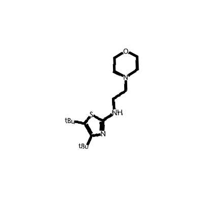 CC(C)(C)c1nc(NCCN2CCOCC2)sc1C(C)(C)C